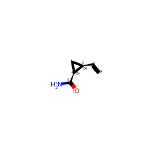 C=C[C@@H]1C[C@@H]1C(N)=O